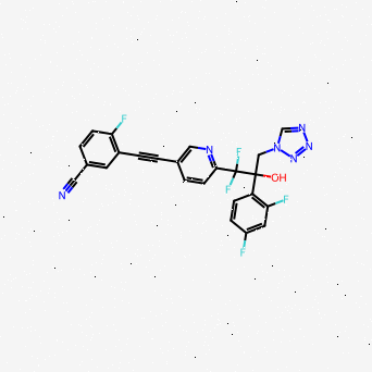 N#Cc1ccc(F)c(C#Cc2ccc(C(F)(F)C(O)(Cn3cnnn3)c3ccc(F)cc3F)nc2)c1